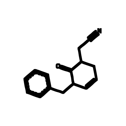 N#CCC1CC=CC(Cc2ccccc2)C1=O